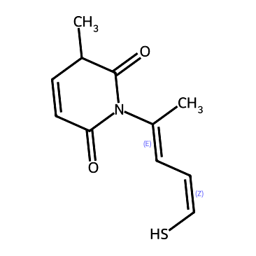 C/C(=C\C=C/S)N1C(=O)C=CC(C)C1=O